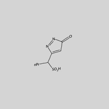 CCCC(C1=CC(=O)N=N1)S(=O)(=O)O